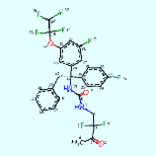 CC(=O)C(F)(F)CNC(=O)N[C@](Cc1ccccc1)(c1ccc(F)cc1)c1cc(F)cc(OC(F)(F)C(F)F)c1